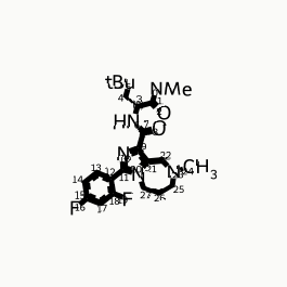 CNC(=O)[C@H](CC(C)(C)C)NC(=O)c1nc(-c2ccc(F)cc2F)n2c1CN(C)CCC2